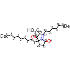 CCCCCCCCCCCCCCCCCCC1(C(=O)C(CCCCCCCCCCCCCCCC)C(=O)O)CCC(=O)N1